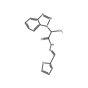 CC(C(=O)N/N=C/c1ccco1)n1nnc2ccccc21